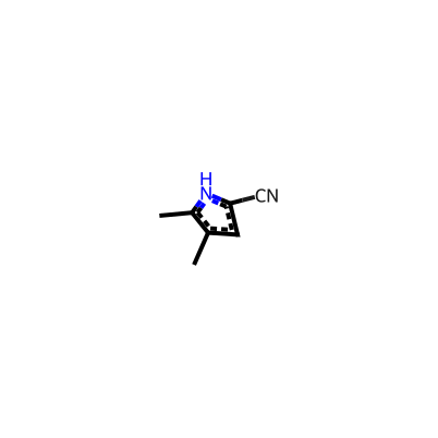 Cc1cc(C#N)[nH]c1C